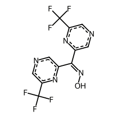 ON=C(c1cncc(C(F)(F)F)n1)c1cncc(C(F)(F)F)n1